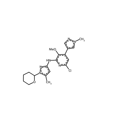 COc1c(-c2cnn(C)c2)cc(Cl)nc1Nc1cc(C)n(C2CCCCO2)n1